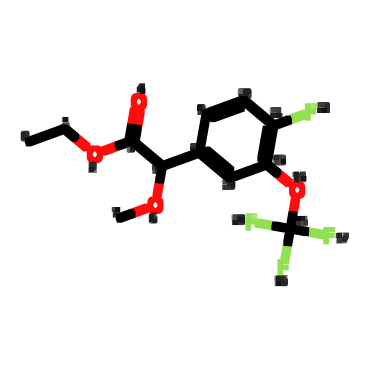 CCOC(=O)C(OC)c1ccc(F)c(OC(F)(F)F)c1